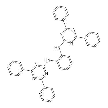 c1ccc(-c2nc(Nc3ccccc3Nc3nc(-c4ccccc4)nc(-c4ccccc4)n3)nc(-c3ccccc3)n2)cc1